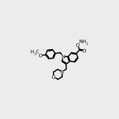 COc1ccc(Cn2cc(CN3CCOCC3)c3ccc(C(=O)ON)cc32)cc1